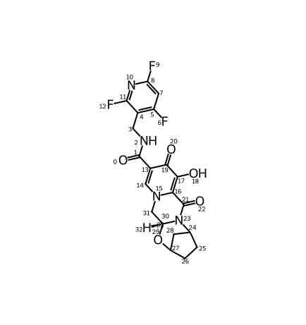 O=C(NCc1c(F)cc(F)nc1F)c1cn2c(c(O)c1=O)C(=O)N1C3CCC(C3)O[C@@H]1C2